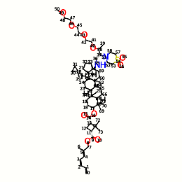 C=C/C=C\C=C(/C)COC(=O)[C@@H]1C[C@H](C(=O)O[C@H]2CC[C@]3(C)[C@H]4CC[C@@H]5[C@H]6[C@H](C7(C)CC7)CC[C@]6(NC[C@H](C(C)OCCOCCOCCOC)N6CCS(=O)(=O)CC6)CC[C@@]5(C)[C@]4(C)CC[C@H]3C2(C)C)C1(C)C